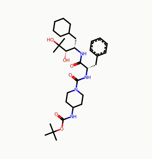 CC(C)(C)OC(=O)NC1CCN(C(=O)N[C@@H](Cc2ccccc2)C(=O)N[C@@H](CC2CCCCC2)[C@H](O)C(C)(C)O)CC1